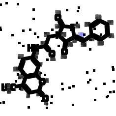 Cc1cc(=O)oc2cc(NC(=O)CN3C(=O)S/C(=C\c4ccccc4)C3=O)ccc12